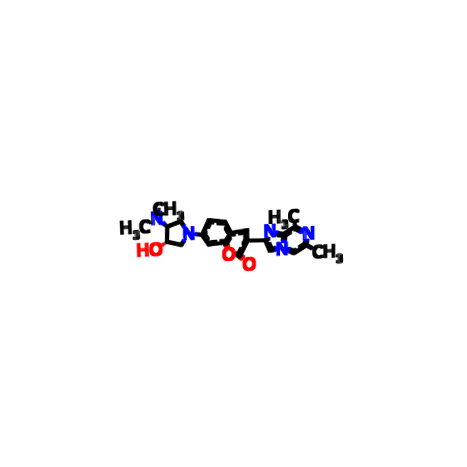 Cc1cn2cc(-c3cc4ccc(N5C[C@H](O)[C@@H](N(C)C)C5)cc4oc3=O)nc2c(C)n1